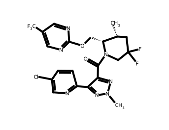 C[C@@H]1CC(F)(F)CN(C(=O)c2nn(C)nc2-c2ccc(Cl)cn2)[C@@H]1COc1ncc(C(F)(F)F)cn1